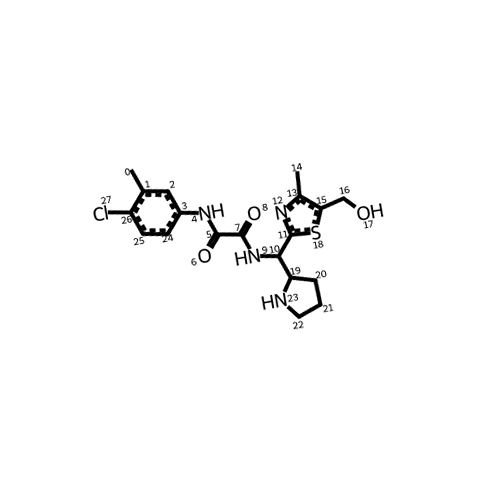 Cc1cc(NC(=O)C(=O)NC(c2nc(C)c(CO)s2)C2CCCN2)ccc1Cl